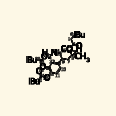 CCC(C)CC(=O)OC(C)CC(c1ccc(OC(=O)C(C)CC)c(OC(=O)C(C)CC)c1)[C@H](N)C(=O)O